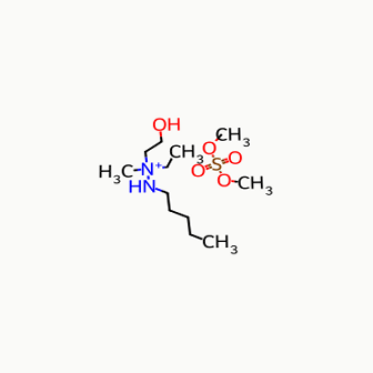 CCCCCN[N+](C)(CC)CCO.COS(=O)(=O)OC